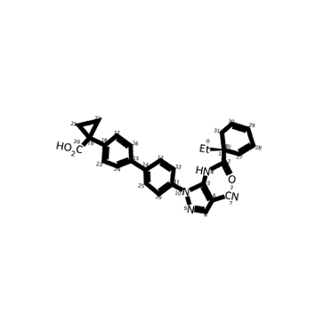 CC[C@]1(C(=O)Nc2c(C#N)cnn2-c2ccc(-c3ccc(C4(C(=O)O)CC4)cc3)cc2)C=CC=CC1